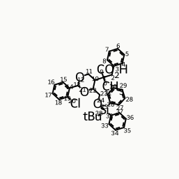 CC(Cc1ccccc1)(C(=O)O)C1COC(c2ccccc2Cl)OC1CO[Si](c1ccccc1)(c1ccccc1)C(C)(C)C